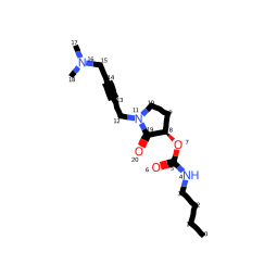 CCCCNC(=O)O[C@@H]1CCN(CC#CCN(C)C)C1=O